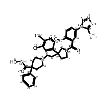 COc1ccc(-n2nnnc2C)cc1C(=O)N1CCC(CCN2CCC(C(=O)NO)(c3ccccc3)CC2)(c2ccc(Cl)c(Cl)c2)C1